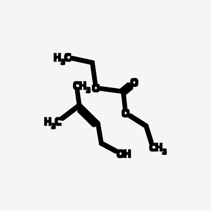 CC(C)=CCO.CCOC(=O)OCC